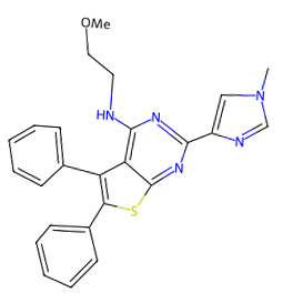 COCCNc1nc(-c2cn(C)cn2)nc2sc(-c3ccccc3)c(-c3ccccc3)c12